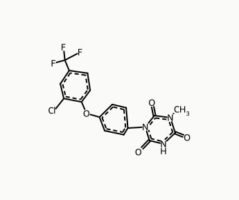 Cn1c(=O)[nH]c(=O)n(-c2ccc(Oc3ccc(C(F)(F)F)cc3Cl)cc2)c1=O